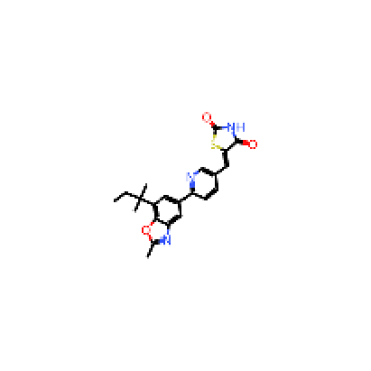 CCC(C)(C)c1cc(-c2ccc(/C=C3\SC(=O)NC3=O)cn2)cc2nc(C)oc12